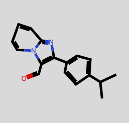 CC(C)c1ccc(-c2nc3ccccn3c2C=O)cc1